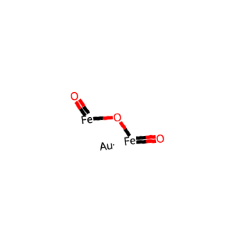 [Au].[O]=[Fe][O][Fe]=[O]